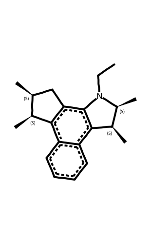 CCN1c2c3c(c4ccccc4c2[C@H](C)[C@@H]1C)[C@@H](C)[C@@H](C)C3